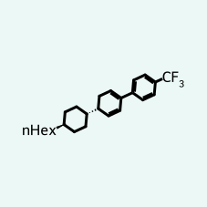 CCCCCC[C@H]1CC[C@H](C2C=CC(c3ccc(C(F)(F)F)cc3)=CC2)CC1